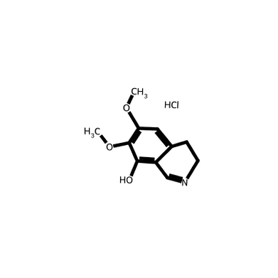 COc1cc2c(c(O)c1OC)C=NCC2.Cl